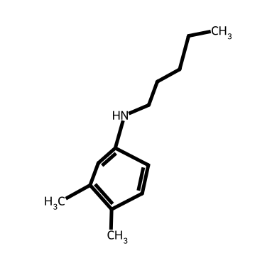 CCCCCNc1ccc(C)c(C)c1